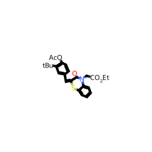 CCOC(=O)CN1C(=O)/C(=C\c2ccc(OC(C)=O)c(C(C)(C)C)c2)Sc2ccccc21